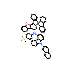 CS(C)(C)c1ccc(N(c2cc3c(c4oc5ccccc5c24)-c2ccccc2C32c3ccccc3-c3ccccc32)c2cccc3c2c2ccccc2n3-c2ccc3ccccc3c2)cc1